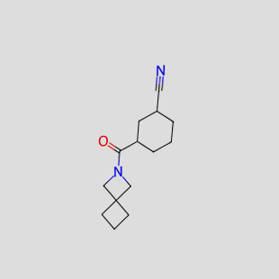 N#CC1CCCC(C(=O)N2CC3(CCC3)C2)C1